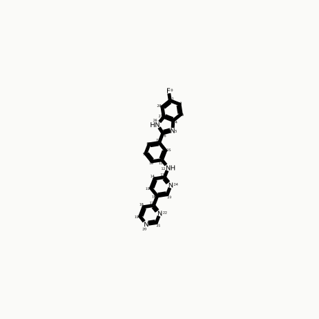 Fc1ccc2nc(-c3cccc(Nc4ccc(-c5ccncn5)cn4)c3)[nH]c2c1